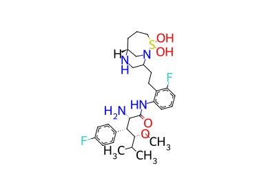 CO[C@H](C(C)C)[C@H](c1ccc(F)cc1)[C@H](N)C(=O)Nc1cccc(F)c1CCC1CN[C@@H]2CCCS(O)(O)N1C2